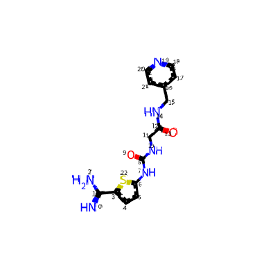 N=C(N)c1ccc(NC(=O)NCC(=O)NCc2ccncc2)s1